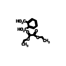 CCOC(=O)C(=O)OCC.O=C(O)c1ccccc1C(=O)O